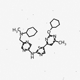 Cc1cc(-c2cnc(Nc3cnc(CN(C)C4CCCCC4)cn3)s2)nc(OC2CCCCC2)n1